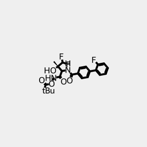 CC(C)(C)C(=O)ONC(=O)C(NC(=O)c1ccc(-c2ccccc2F)cc1)[C@](C)(O)C(F)F